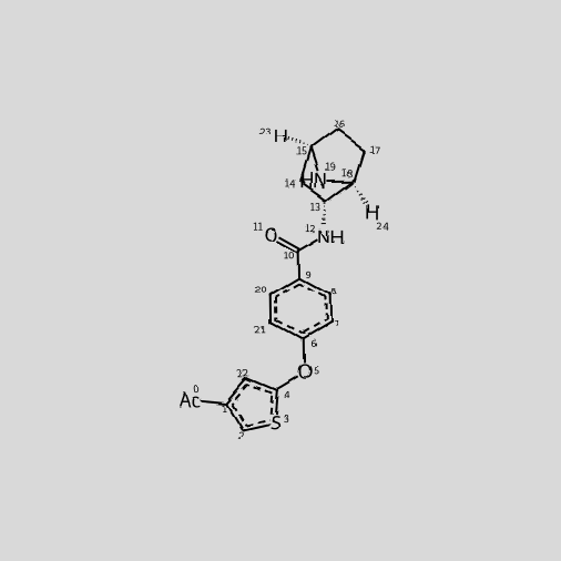 CC(=O)c1csc(Oc2ccc(C(=O)N[C@@H]3C[C@H]4CC[C@@H]3N4)cc2)c1